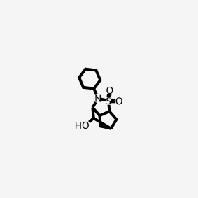 O=S1(=O)C2CC3CC2C(C3O)N1C1CCCCC1